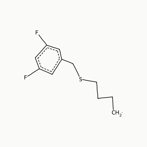 [CH2]CCCSCc1cc(F)cc(F)c1